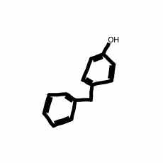 Oc1ccc(Cc2c[c]ccc2)cc1